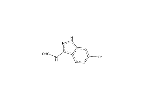 CC(C)c1ccc2c(NC=O)n[nH]c2c1